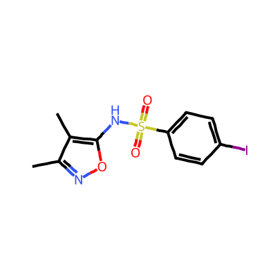 Cc1noc(NS(=O)(=O)c2ccc(I)cc2)c1C